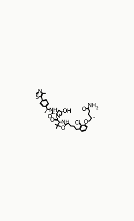 Cc1ncsc1-c1ccc([C@H](C)NC(=O)[C@@H]2C[C@H](O)CN2C(=O)[C@@H](NC(=O)CCCCc2cccc(OC[C@@H](C)CCC(N)=O)c2Cl)C(C)(C)C)cc1